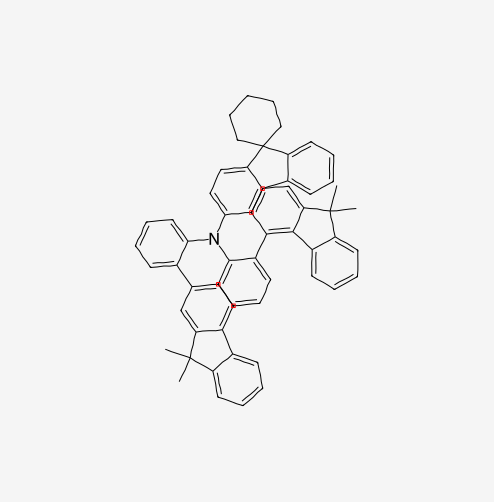 CC1(C)c2ccccc2-c2ccc(-c3ccccc3N(c3ccc4c(c3)-c3ccccc3C43CCCCC3)c3ccccc3-c3cccc4c3-c3ccccc3C4(C)C)cc21